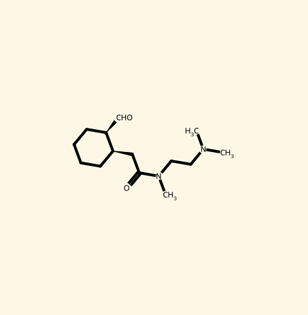 CN(C)CCN(C)C(=O)C[C@H]1CCCC[C@H]1C=O